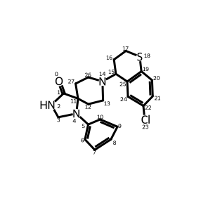 O=C1NCN(c2ccccc2)C12CCN(C1CCSc3ccc(Cl)cc31)CC2